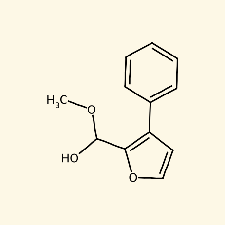 COC(O)c1occc1-c1ccccc1